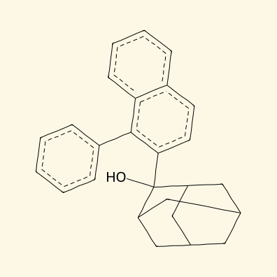 OC1(c2ccc3ccccc3c2-c2ccccc2)C2CC3CC(C2)CC1C3